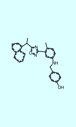 Cc1ccc(NCc2ccc(O)cc2)cc1-c1noc(C(C)c2cccc3ccccc23)n1